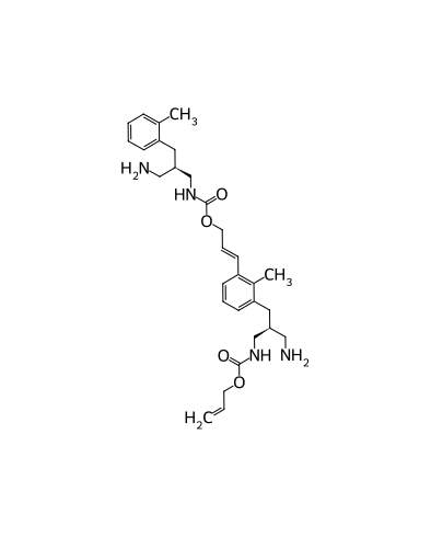 C=CCOC(=O)NC[C@H](CN)Cc1cccc(/C=C/COC(=O)NC[C@@H](CN)Cc2ccccc2C)c1C